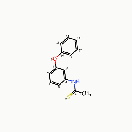 CC(=S)Nc1cccc(Oc2ccccc2)c1